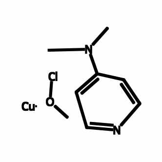 CN(C)c1ccncc1.COCl.[Cu]